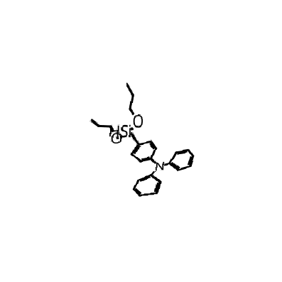 CCCO[SiH](OCCC)c1ccc(N(c2ccccc2)c2ccccc2)cc1